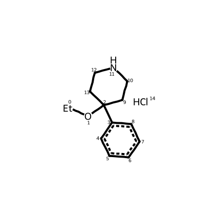 CCOC1(c2ccccc2)CCNCC1.Cl